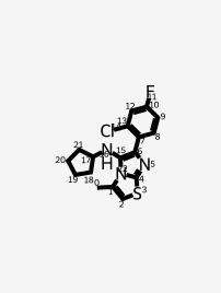 Cc1csc2nc(-c3ccc(F)cc3Cl)c(NC3CCCC3)n12